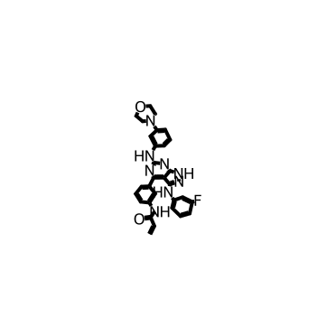 C=CC(=O)Nc1cccc(-c2nc(Nc3cccc(N4CCOCC4)c3)nc3[nH]nc(Nc4cccc(F)c4)c23)c1